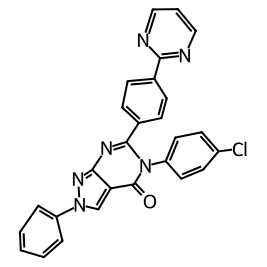 O=c1c2cn(-c3ccccc3)nc2nc(-c2ccc(-c3ncccn3)cc2)n1-c1ccc(Cl)cc1